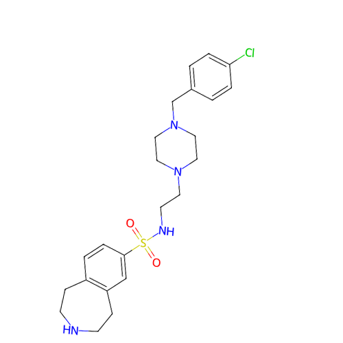 O=S(=O)(NCCN1CCN(Cc2ccc(Cl)cc2)CC1)c1ccc2c(c1)CCNCC2